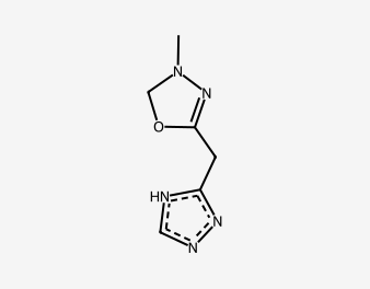 CN1COC(Cc2nnc[nH]2)=N1